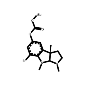 CN1CC[C@@]2(C)c3cc(OC(=O)OC(C)(C)C)cc(Br)c3N(C)C12